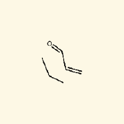 C=CC=O.CCC